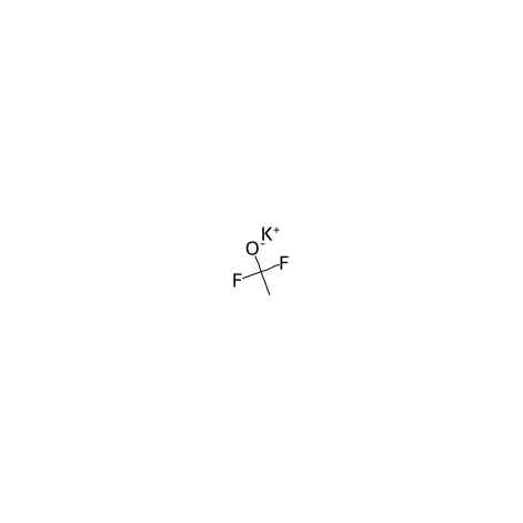 CC([O-])(F)F.[K+]